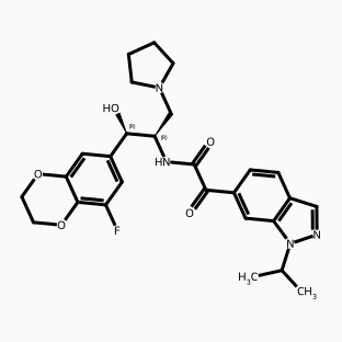 CC(C)n1ncc2ccc(C(=O)C(=O)N[C@H](CN3CCCC3)[C@H](O)c3cc(F)c4c(c3)OCCO4)cc21